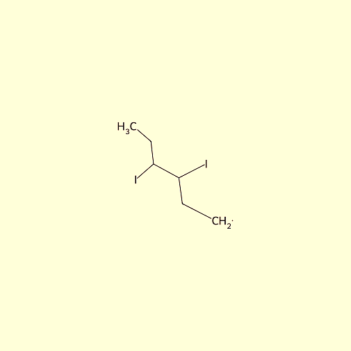 [CH2]CC(I)C(I)CC